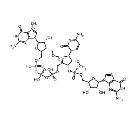 COC[C@H]1[C@@H](O)[C@H](n2c[n+](C)c3c(=O)[nH]c(N)nc32)O[C@@H]1COP(=O)(O)OP(=O)(O)OP(=O)(O)OC[C@H]1O[C@@H](n2ccc(N)nc2=O)[C@H](OC)[C@@H]1OP(=O)([O-])OC[C@H]1O[C@@H](n2cnc3c(=O)[nH]c(N)nc32)[C@H](O)[C@@H]1O